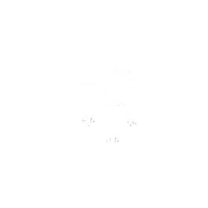 Cc1cccc(NN)c1N